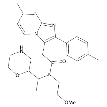 COCCN(C(=O)Cc1c(-c2ccc(C)cc2)nc2cc(C)ccn12)C(C)C1CNCCO1